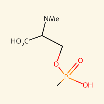 CNC(COP(C)(=O)O)C(=O)O